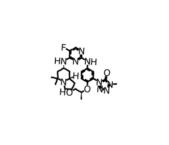 C[C@@H](CO)Oc1ccc(Nc2ncc(F)c(N[C@@H]3C[C@@H]4CCCN4C(C)(C)C3)n2)cc1-n1nnn(C)c1=O